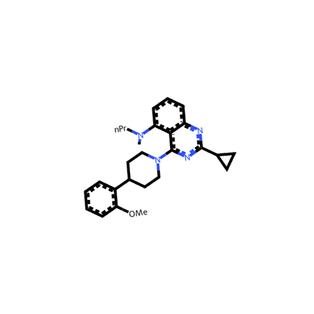 CCCN(C)c1cccc2nc(C3CC3)nc(N3CCC(c4ccccc4OC)CC3)c12